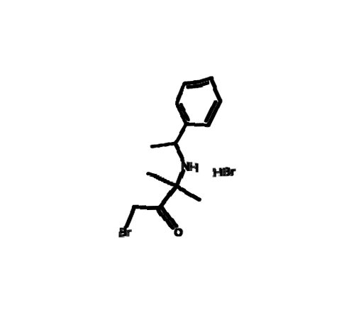 Br.CC(NC(C)(C)C(=O)CBr)c1ccccc1